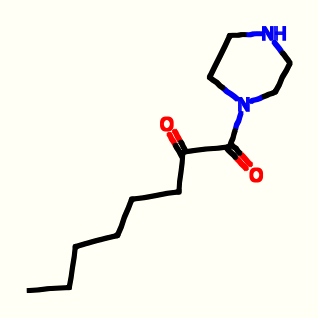 CCCCCCC(=O)C(=O)N1CCNCC1